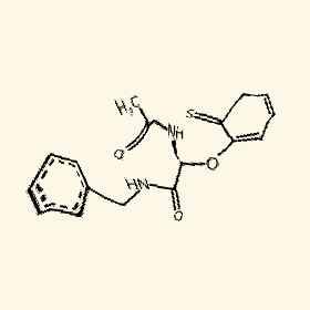 CC(=O)N[C@@H](OC1=CC=CCC1=S)C(=O)NCc1ccccc1